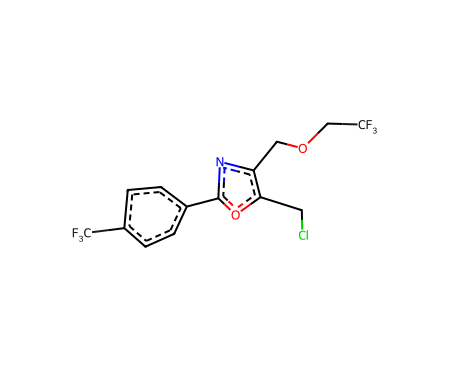 FC(F)(F)COCc1nc(-c2ccc(C(F)(F)F)cc2)oc1CCl